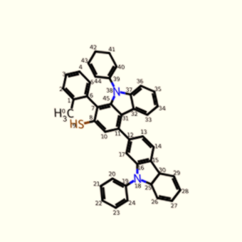 Cc1ccccc1-c1c(S)cc(-c2ccc3c(c2)N(c2ccccc2)C2C=CC=CC32)c2c3ccccc3n(C3=CCCC=C3)c12